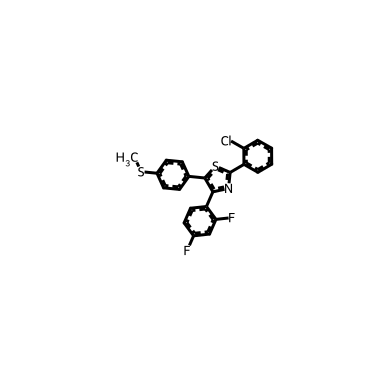 CSc1ccc(-c2sc(-c3ccccc3Cl)nc2-c2ccc(F)cc2F)cc1